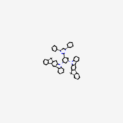 CC1(C)c2ccccc2-c2cc3c4ccccc4n(-c4cc(-c5nc(-c6ccccc6)cc(-c6ccccc6)n5)cc(-n5c6ccccc6c6cc7c(cc65)C(C)(C)c5ccccc5-7)c4)c3cc21